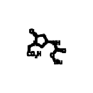 CC(C)(C)OC(=O)NC1CC(=O)N(CC(=O)O)C1